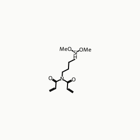 C=CC(=O)N(CCCC[SiH](OC)OC)C(=O)C=C